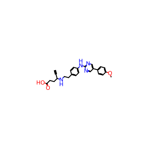 C#CC(CCC(=O)O)NCCc1ccc(Nc2ncc(-c3ccc(OC)cc3)cn2)cc1